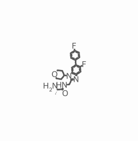 C[C@H](N)C(=O)NCc1nc2cc(F)c(-c3ccc(F)cc3)cc2n1C1CCOCC1